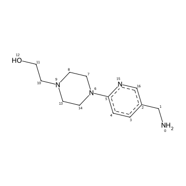 NCc1ccc(N2CCN(CCO)CC2)nc1